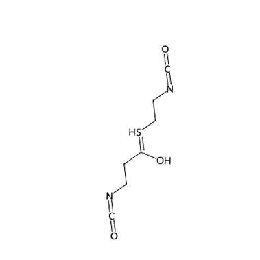 O=C=NCC[SH]=C(O)CCN=C=O